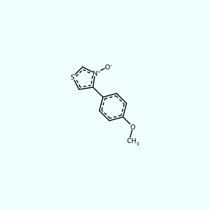 COc1ccc(-c2cs[c][n+]2[O-])cc1